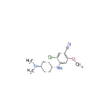 COc1cc(N[C@H]2CC[C@H](N(C)C)CC2)c(Cl)cc1C#N